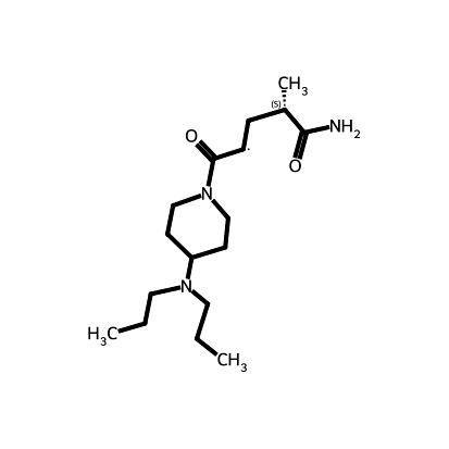 CCCN(CCC)C1CCN(C(=O)[CH]C[C@H](C)C(N)=O)CC1